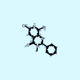 Cn1c(-c2ccccc2)nc2c(Br)nc(Cl)cc2c1=O